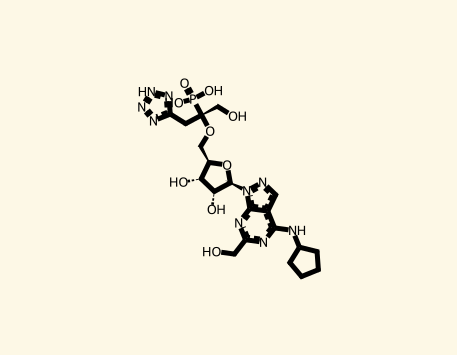 O=P(O)(O)[C@@](CO)(Cc1nn[nH]n1)OC[C@H]1O[C@@H](n2ncc3c(NC4CCCC4)nc(CO)nc32)[C@H](O)[C@@H]1O